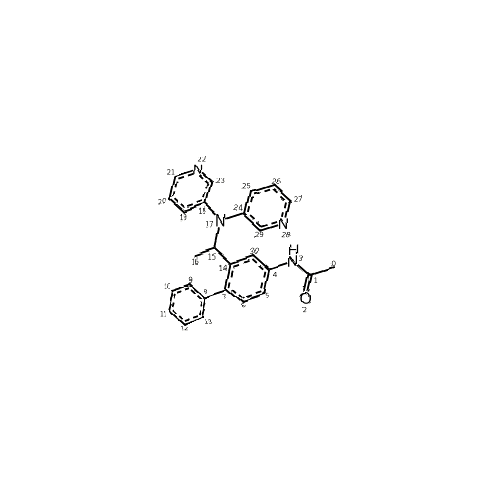 CC(=O)Nc1ccc(-c2ccccc2)c(C(C)N(c2cccnc2)c2cccnc2)c1